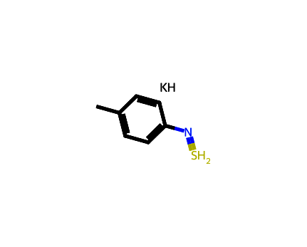 Cc1ccc(N=[SH2])cc1.[KH]